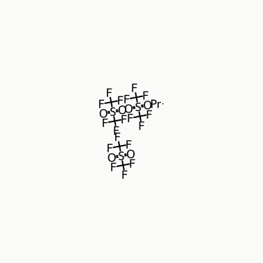 O=S(=O)(C(F)(F)F)C(F)(F)F.O=S(=O)(C(F)(F)F)C(F)(F)F.O=S(=O)(C(F)(F)F)C(F)(F)F.[Pr]